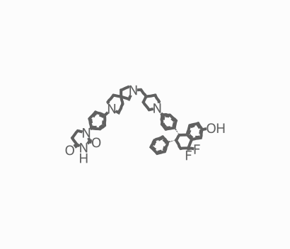 O=C1CCN(c2ccc(N3CCC4(CCN(CC5CCN(c6ccc([C@@H]7c8ccc(O)cc8C(F)(F)C[C@@H]7c7ccccc7)cc6)CC5)C4)CC3)cc2)C(=O)N1